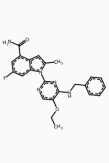 CCOc1cnc(-n2c(C)cc3c(C(N)=O)cc(F)cc32)nc1NCc1ccccc1